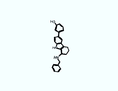 Oc1cccc(-c2ccc3[nH]c4c(c3c2)CCCC4NCc2ccccc2)c1